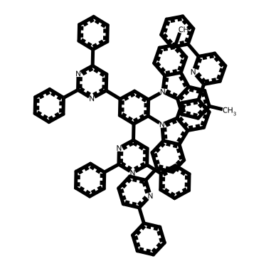 Cc1ccc2c(c1)c1cc(C)ccc1n2-c1cc(-c2cc(-c3ccccc3)nc(-c3ccccc3)n2)cc(-c2cc(-c3ccccc3)nc(-c3ccccc3)n2)c1-n1c2cc(-c3cccc(-c4ccccc4)n3)ccc2c2ccc(-c3cccc(-c4ccccc4)n3)cc21